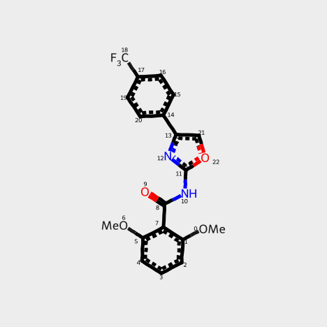 COc1cccc(OC)c1C(=O)Nc1nc(-c2ccc(C(F)(F)F)cc2)co1